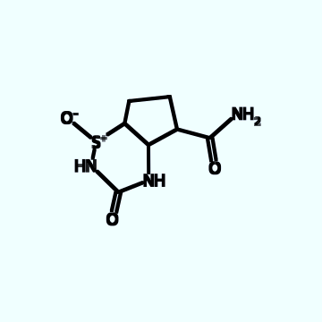 NC(=O)C1CCC2C1NC(=O)N[S+]2[O-]